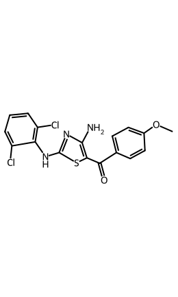 COc1ccc(C(=O)c2sc(Nc3c(Cl)cccc3Cl)nc2N)cc1